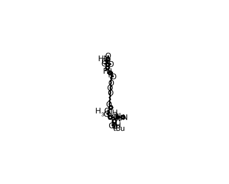 C[C@@H](NC(=O)c1cccc(NC2(c3nnc(-c4ccncc4)[nH]3)CCN(C(=O)OC(C)(C)C)CC2)c1)c1cccc(OCCCCCCOCCOCCOCCCC(=O)N2CCN(c3cc4c(cc3F)C(=O)N(C3CCC(=O)NC3=O)C4=O)CC2)c1